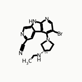 CCN[C@H]1CCN(c2c(Br)cnc3[nH]c4cnc(C#N)cc4c23)C1